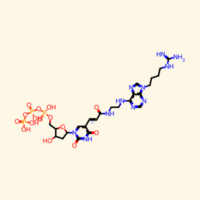 N=C(N)NCCCCn1cnc2c(NCCNC(=O)/C=C/c3cn(C4CC(O)C(COP(=O)(O)OP(=O)(O)OP(=O)(O)O)O4)c(=O)[nH]c3=O)ncnc21